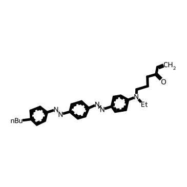 C=CC(=O)CCCN(CC)c1ccc(N=Nc2ccc(N=Nc3ccc(CCCC)cc3)cc2)cc1